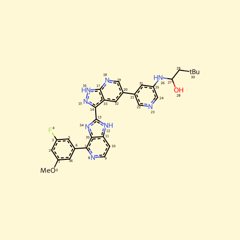 COc1cc(F)cc(-c2nccc3[nH]c(-c4n[nH]c5ncc(-c6cncc(NC(O)CC(C)(C)C)c6)cc45)nc23)c1